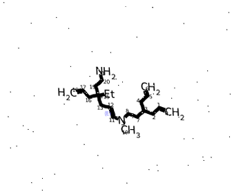 C=CCC(CC=C)CCN(C)/C=C/CC(CC)(CC=C)CCN